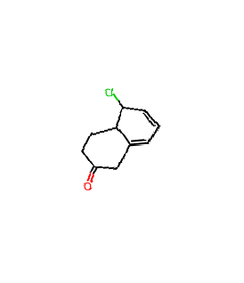 O=C1CCC2C(=CC=CC2Cl)C1